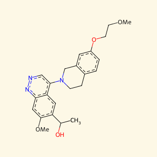 COCCOc1ccc2c(c1)CN(c1cnnc3cc(OC)c(C(C)O)cc13)CC2